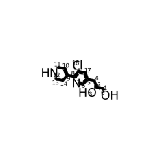 OC[C@@H](O)Cc1cnc(C2=CCNCC2)c(Cl)c1